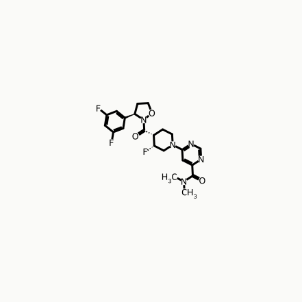 CN(C)C(=O)c1cc(N2CC[C@@H](C(=O)N3OCC[C@@H]3c3cc(F)cc(F)c3)[C@@H](F)C2)ncn1